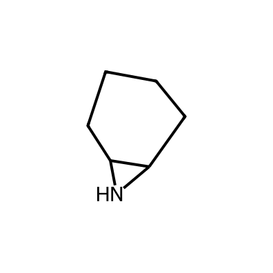 C1CCC2NC2C1